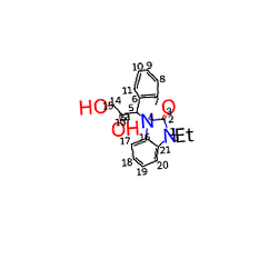 CCn1c(=O)n(C(c2ccccc2)[C@H](O)CO)c2ccccc21